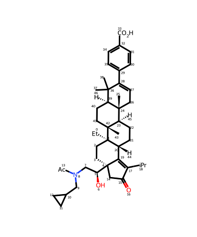 CC[C@@]12CC[C@@]3([C@@H](O)CN(CC4CC4)C(C)=O)CC(=O)C(C(C)C)=C3[C@H]1CC[C@@H]1[C@@]3(C)CC=C(c4ccc(C(=O)O)cc4)C(C)(C)[C@@H]3CC[C@]12C